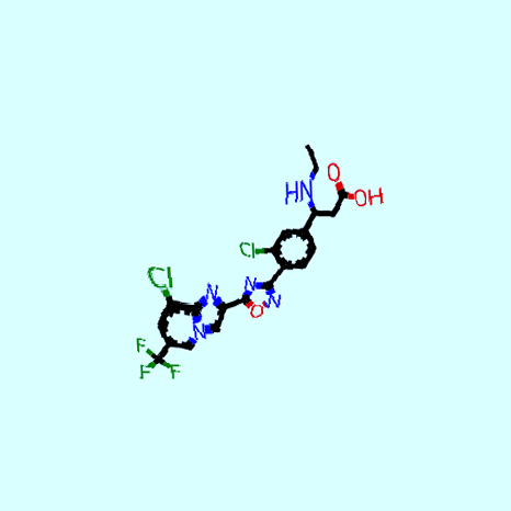 CCNC(CC(=O)O)c1ccc(-c2noc(-c3cn4cc(C(F)(F)F)cc(Cl)c4n3)n2)c(Cl)c1